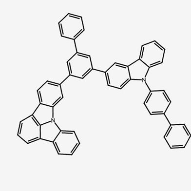 c1ccc(-c2ccc(-n3c4ccccc4c4cc(-c5cc(-c6ccccc6)cc(-c6ccc7c8cccc9c%10ccccc%10n(c7c6)c98)c5)ccc43)cc2)cc1